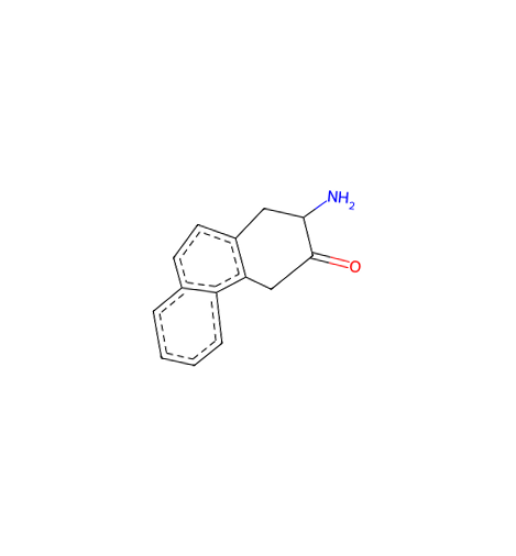 NC1Cc2ccc3ccccc3c2CC1=O